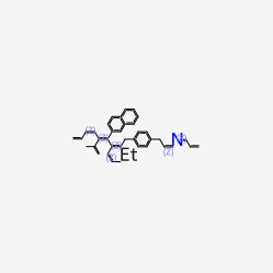 C=C\C=C/C(C(=C)C)=C(C(/C=C\C)=C(/CC)Cc1ccc(C/C=C\N=C/C=C)cc1)\c1ccc2ccccc2c1